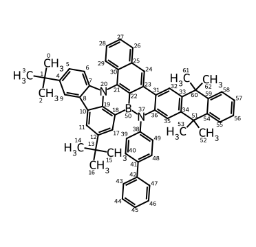 CC(C)(C)c1ccc2c(c1)c1cc(C(C)(C)C)cc3c1n2-c1c2c(cc4ccccc14)-c1cc4c(cc1N(c1ccc(-c5ccccc5)cc1)B23)C(C)(C)c1ccccc1C4(C)C